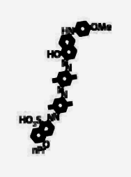 CCCOc1cccc2c(S(=O)(=O)O)c(N=Nc3cc(C)c(N=Nc4cc(C)c(N=Nc5ccc6cc(Nc7ccc(OC)cc7)ccc6c5O)cc4C)cc3C)ccc12